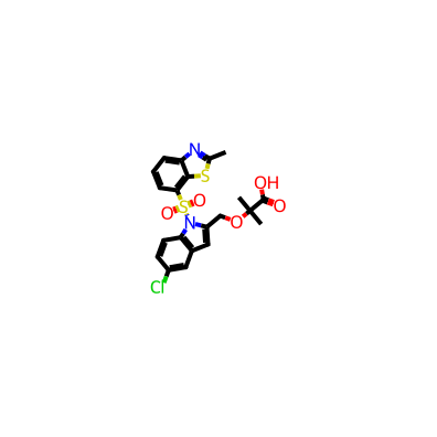 Cc1nc2cccc(S(=O)(=O)n3c(COC(C)(C)C(=O)O)cc4cc(Cl)ccc43)c2s1